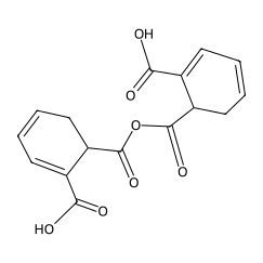 O=C(O)C1=CC=CCC1C(=O)OC(=O)C1CC=CC=C1C(=O)O